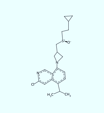 CC(C)c1ccc(N2CC(C[S@+]([O-])CCC3CC3)C2)c2cnc(Cl)cc12